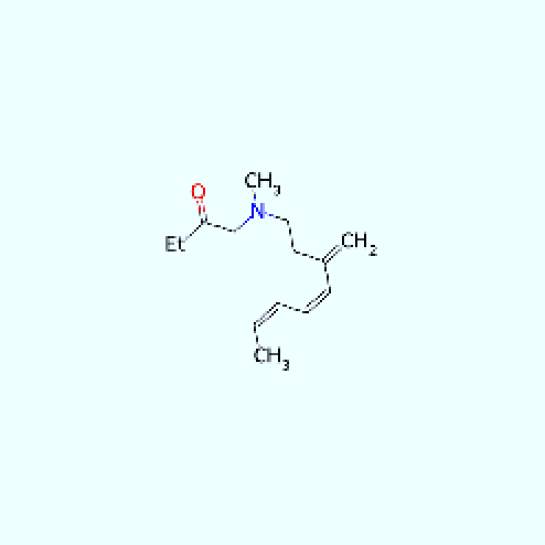 C=C(/C=C\C=C/C)CCN(C)CC(=O)CC